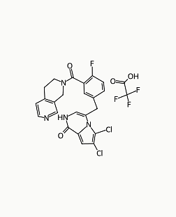 O=C(O)C(F)(F)F.O=C(c1cc(Cc2c[nH]c(=O)c3cc(Cl)c(Cl)n23)ccc1F)N1CCc2ccncc2C1